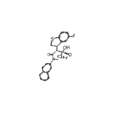 CN(C(=O)C(C1CSc2ccc(F)cc21)P(=O)(O)O)c1ccc2ccccc2c1